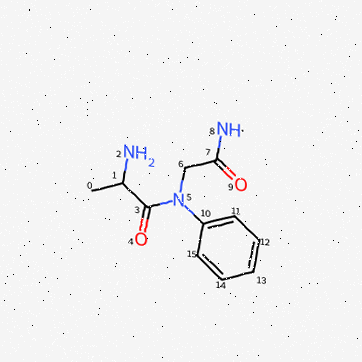 CC(N)C(=O)N(CC([NH])=O)c1ccccc1